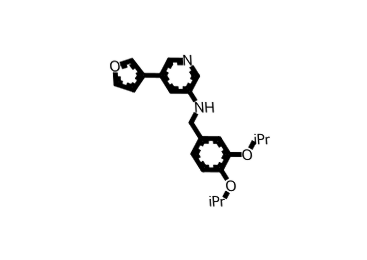 CC(C)Oc1ccc(CNc2cncc(-c3ccoc3)c2)cc1OC(C)C